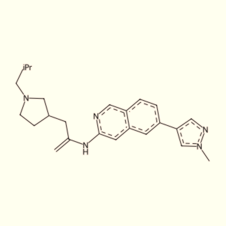 C=C(CC1CCN(CC(C)C)C1)Nc1cc2cc(-c3cnn(C)c3)ccc2cn1